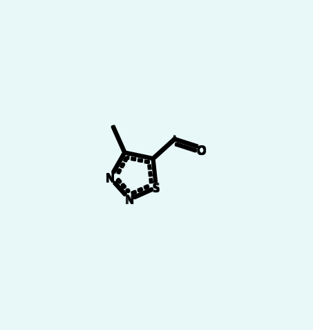 Cc1nnsc1[C]=O